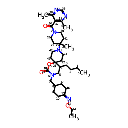 CCCCC1CN(CC2CCC(=NOCC)CC2)C(=O)OC12CCN(C1(C)CCN(C(=O)c3c(C)ncnc3C)CC1)CC2